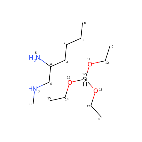 CCCCC(N)CNC.CCO[SiH](OCC)OCC